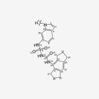 Cn1ccc2ccc(NS(=O)(=O)NC(=O)Nc3c4c(cc5c3CCC5)CCC4)cc21